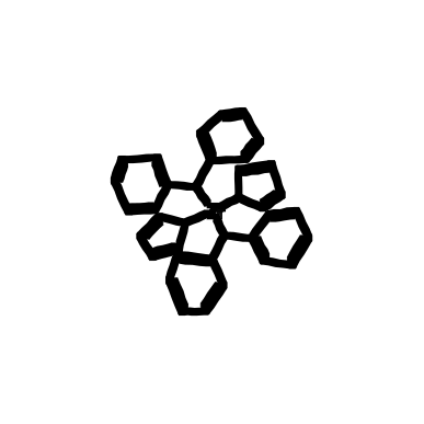 C1=C[CH]([Zr]([CH]2C=CC=C2)([CH](c2ccccc2)c2ccccc2)[CH](c2ccccc2)c2ccccc2)C=C1